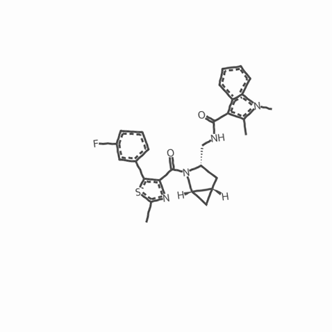 Cc1nc(C(=O)N2[C@H](CNC(=O)c3c(C)n(C)c4ccccc34)C[C@@H]3C[C@@H]32)c(-c2cccc(F)c2)s1